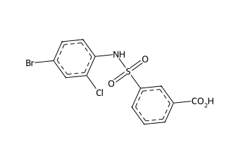 O=C(O)c1cccc(S(=O)(=O)Nc2ccc(Br)cc2Cl)c1